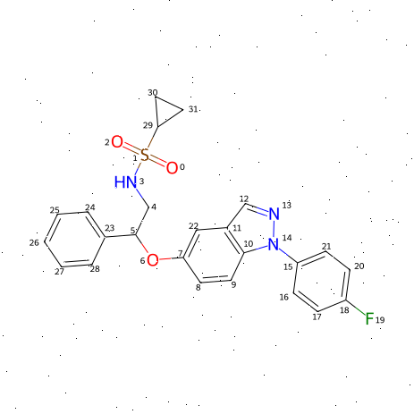 O=S(=O)(NCC(Oc1ccc2c(cnn2-c2ccc(F)cc2)c1)c1ccccc1)C1CC1